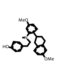 COc1ccc2c(c1)CCC(c1ccc(OC)cc1N(C)CCc1ccc(O)cc1)C2